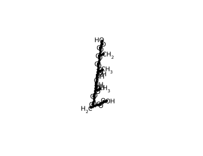 C=CCC(CCCOC(=O)CCC(=O)CCO)C(=O)OCCCCC(=O)OCCCC(CC(O)CNCCOCCNCC(O)CC(CCCOC(=O)CCCCOC(=O)C(CC=C)CCCOC(=O)CCC(=O)CCO)C(=O)OCC)C(=O)OCC